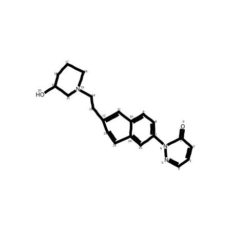 O=c1cccnn1-c1ccc2cc(CCN3CCCC(O)C3)ccc2c1